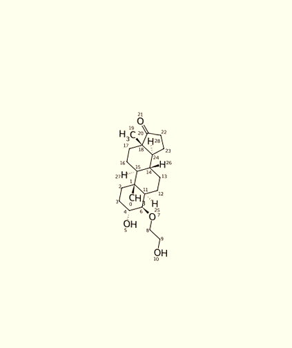 C[C@]12CC[C@@H](O)[C@H](OCCO)[C@@H]1CC[C@@H]1[C@@H]2CC[C@]2(C)C(=O)CC[C@@H]12